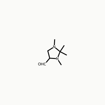 CN1CC(C=O)N(C)C1(C)C